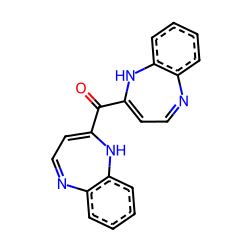 O=C(C1=CC=Nc2ccccc2N1)C1=CC=Nc2ccccc2N1